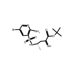 C[C@@H](CC(=N)C(=O)OC(C)(C)C)NS(=O)(=O)c1cc(Br)cnc1N